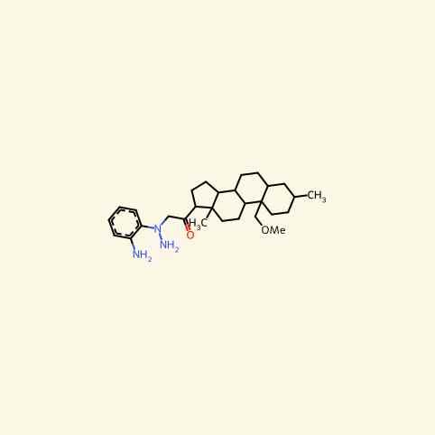 COCC12CCC(C)CC1CCC1C3CCC(C(=O)CN(N)c4ccccc4N)C3(C)CCC12